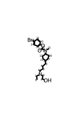 CCN(CCO)CCCCC1CCC(N(C)C(=O)Oc2ccc(Br)cc2)CC1